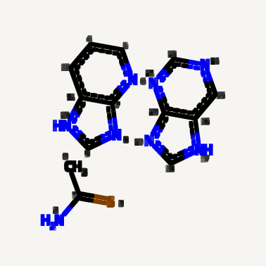 CC(N)=S.c1cnc2nc[nH]c2c1.c1ncc2[nH]cnc2n1